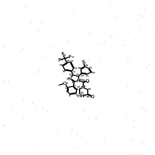 COc1ccccc1C1=NC(c2ccc(C(F)(F)F)cc2)C(c2cccc(F)c2)N1C(=O)N1CCNC(=O)C1